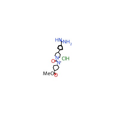 COC(=O)[C@H]1CC[C@H](N(C)C(=O)N2CCC(c3ccc(C(=N)N)cc3)CC2)CC1.Cl